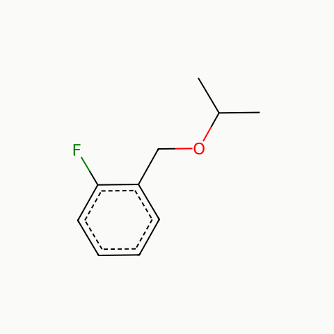 CC(C)OCc1ccccc1F